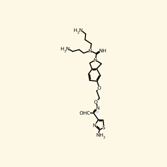 N=C(N(CCCN)CCCN)N1Cc2ccc(OCCO/N=C(\C=O)c3csc(N)n3)cc2C1